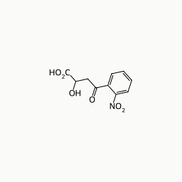 O=C(CC(O)C(=O)O)c1ccccc1[N+](=O)[O-]